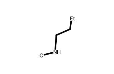 CCCCN[O]